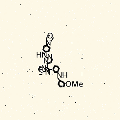 COc1cccc(CNc2cccc(-c3nc4sccn4c3-c3ccnc(Nc4ccc(N5CCOCC5)cc4)n3)c2)c1